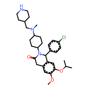 COc1cc2c(cc1OC(C)C)C(c1ccc(Cl)cc1)N(C1CCC(N(C)CC3CCNCC3)CC1)C(=O)C2